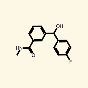 CNC(=O)c1cccc(C(O)c2ccc(F)cc2)c1